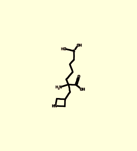 NC(CCCCB(O)O)(CC1CNC1)C(=O)O